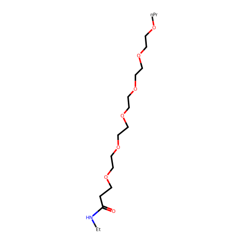 CCCOCCOCCOCCOCCOCCOCCC(=O)NCC